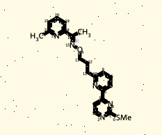 CSc1nccc(-c2cccc(CCCO/N=C(\C)c3cccc(C)n3)n2)n1